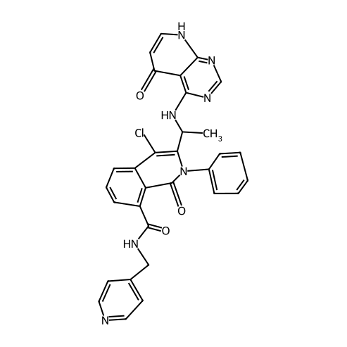 CC(Nc1ncnc2[nH]ccc(=O)c12)c1c(Cl)c2cccc(C(=O)NCc3ccncc3)c2c(=O)n1-c1ccccc1